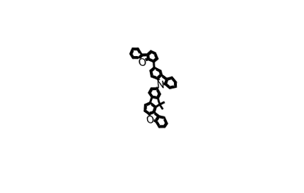 CC1(C)c2cc(-n3c4ccccc4c4cc(-c5cccc6c5oc5ccccc56)ccc43)ccc2-c2ccc3oc4ccccc4c3c21